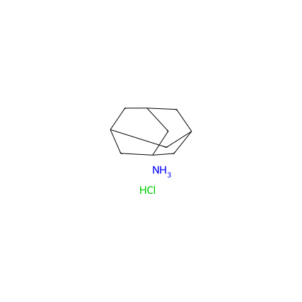 C1C2CC3CC1CC(C2)C3.Cl.N